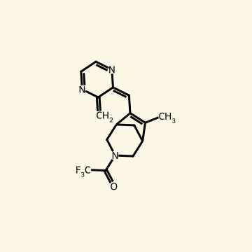 C=c1nccn/c1=C/C1=C(C)C2CC1CN(C(=O)C(F)(F)F)C2